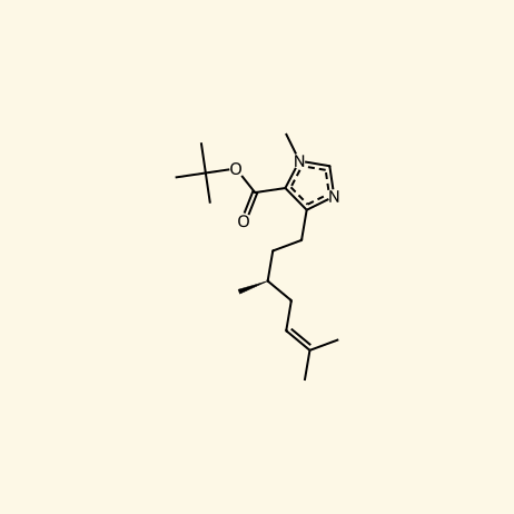 CC(C)=CC[C@@H](C)CCc1ncn(C)c1C(=O)OC(C)(C)C